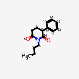 CCC[CH]N1C(=O)CCC(c2ccccc2)C1=O